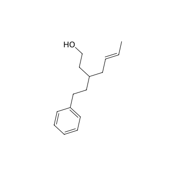 CC=CCC(CCO)CCc1ccccc1